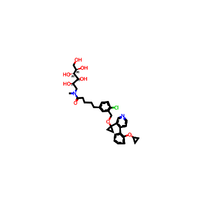 CN(C[C@H](O)[C@@H](O)[C@H](O)[C@H](O)CO)C(=O)CCCCc1ccc(Cl)c(COC2(c3cnccc3-c3ccccc3OC3CC3)CC2)c1